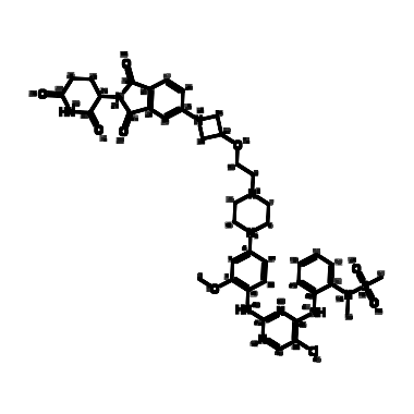 COc1cc(N2CCN(CCOC3CN(c4ccc5c(c4)C(=O)N(C4CCC(=O)NC4=O)C5=O)C3)CC2)ccc1Nc1ncc(Cl)c(Nc2ccccc2N(C)S(C)(=O)=O)n1